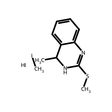 CI.CSC1=Nc2ccccc2C(C)N1.I